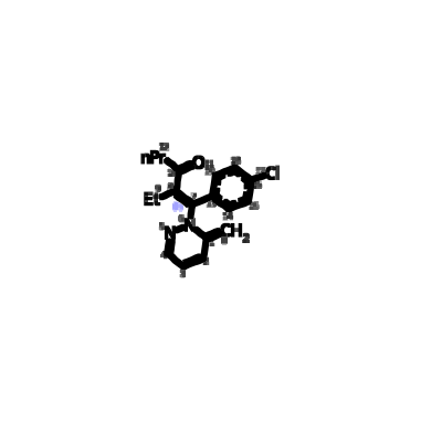 C=C1C=CC=NN1/C(=C(\CC)C(=O)CCC)c1ccc(Cl)cc1